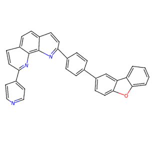 c1ccc2c(c1)oc1ccc(-c3ccc(-c4ccc5ccc6ccc(-c7ccncc7)nc6c5n4)cc3)cc12